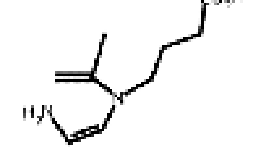 C=C(C)N(/C=C\N)CCCC(=O)O